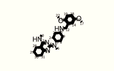 CNc1nc(N(C)[C@H]2CC[C@@H](NCc3cc(OC)ccc3OC)CC2)nc2c1CCCC2